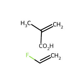 C=C(C)C(=O)O.C=CF